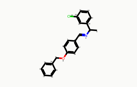 CC(N=Cc1ccc(OCc2ccccc2)cc1)c1cccc(Cl)c1